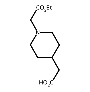 CCOC(=O)CN1CCC(CC(=O)O)CC1